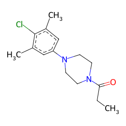 CCC(=O)N1CCN(c2cc(C)c(Cl)c(C)c2)CC1